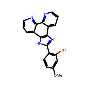 COc1ccc(-c2nc3c4cccnc4c4ncccc4c3[nH]2)c(O)c1